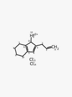 C=CCC1=CC2=C(CCCC2)[CH]1[Hf+2].[Cl-].[Cl-]